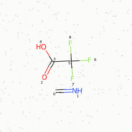 C=N.O=C(O)C(F)(F)F